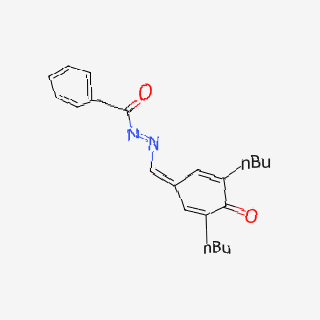 CCCCC1=CC(=C/N=N/C(=O)c2ccccc2)C=C(CCCC)C1=O